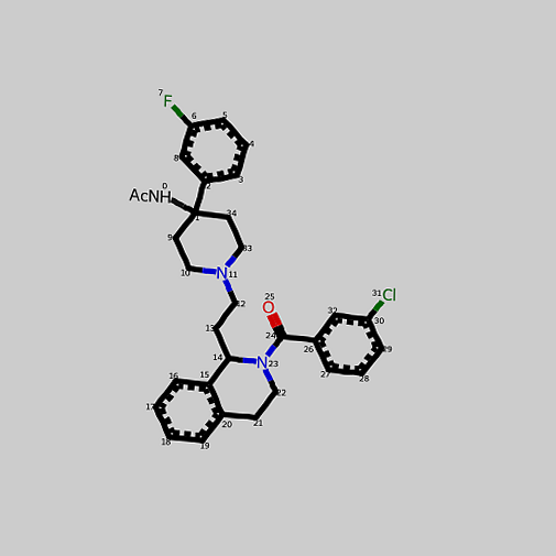 CC(=O)NC1(c2cccc(F)c2)CCN(CCC2c3ccccc3CCN2C(=O)c2cccc(Cl)c2)CC1